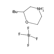 CCC(C)C1C[NH2+]CCO1.F[B-](F)(F)F